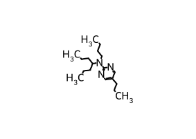 CCCCN(c1ncc(CCC)cn1)C(CCC)CCC